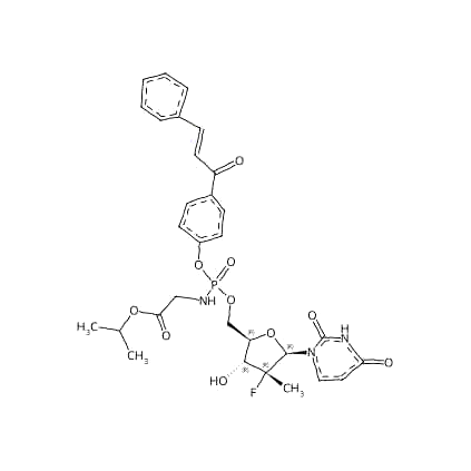 CC(C)OC(=O)CNP(=O)(OC[C@H]1O[C@@H](n2ccc(=O)[nH]c2=O)[C@](C)(F)[C@@H]1O)Oc1ccc(C(=O)/C=C/c2ccccc2)cc1